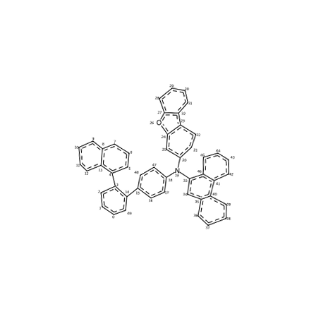 c1ccc(-c2cccc3ccccc23)c(-c2ccc(N(c3ccc4c(c3)oc3ccccc34)c3cc4ccccc4c4ccccc34)cc2)c1